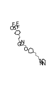 [O-][S+](c1ccc(/C=C/c2nc(COc3ccc(CCCCn4ccnn4)cc3)co2)cc1)C(F)(F)F